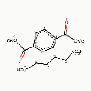 COC(=O)c1ccc(C(=O)OC)cc1.O=C(O)CCCCC(=O)O